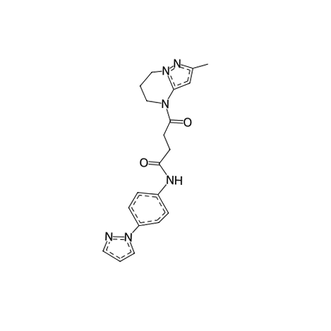 Cc1cc2n(n1)CCCN2C(=O)CCC(=O)Nc1ccc(-n2cccn2)cc1